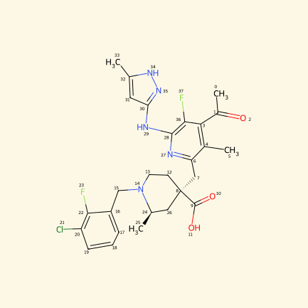 CC(=O)c1c(C)c(C[C@@]2(C(=O)O)CCN(Cc3cccc(Cl)c3F)[C@H](C)C2)nc(Nc2cc(C)[nH]n2)c1F